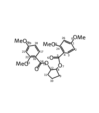 COc1ccc(C(=O)OC2CCCC2OC(=O)c2ccc(OC)cc2OC)c(OC)c1